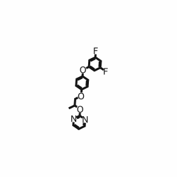 CC(COc1ccc(Oc2cc(F)cc(F)c2)cc1)Oc1ncccn1